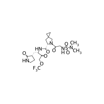 CN(C)S(=O)(=O)NCC(=O)N1CC2(CC2)C[C@H]1C(=O)N[C@@H](C[C@@H]1CCNC1=O)C(=O)COC(F)(F)F